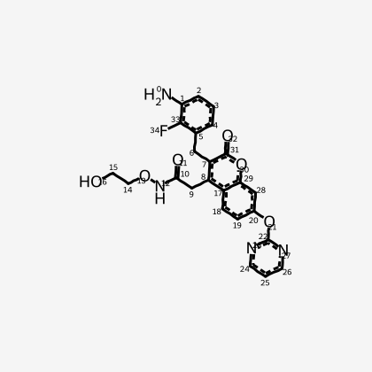 Nc1cccc(Cc2c(CC(=O)NOCCO)c3ccc(Oc4ncccn4)cc3oc2=O)c1F